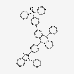 O=P(c1ccccc1)(c1ccccc1)c1ccc(-c2ccc3c(-c4ccc(-c5nc6ccccc6n5-c5ccccc5)cc4)c4ccccc4c(-c4ccccc4)c3c2)cc1